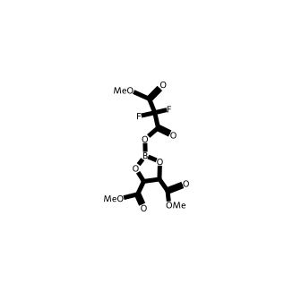 COC(=O)C1OB(OC(=O)C(F)(F)C(=O)OC)OC1C(=O)OC